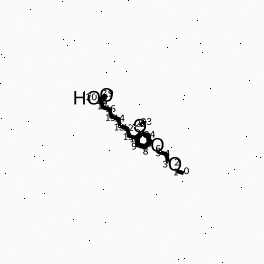 CCOCCCOc1ccc(CCCCCCCC(=O)O)c(OC)c1